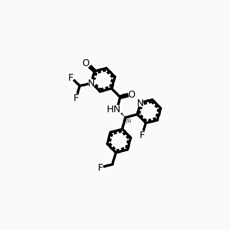 O=C(N[C@@H](c1ccc(CF)cc1)c1ncccc1F)c1ccc(=O)n(C(F)F)c1